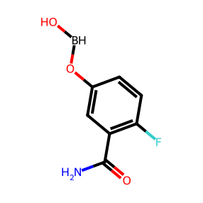 NC(=O)c1cc(OBO)ccc1F